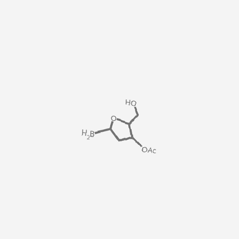 BC1CC(OC(C)=O)C(CO)O1